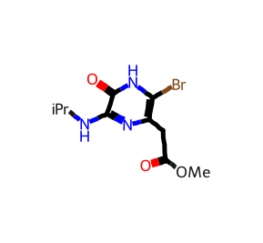 COC(=O)Cc1nc(NC(C)C)c(=O)[nH]c1Br